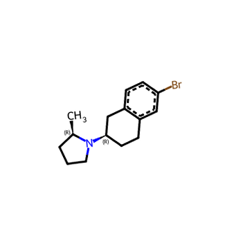 C[C@@H]1CCCN1[C@@H]1CCc2cc(Br)ccc2C1